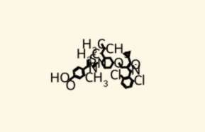 Cc1cc(C(=O)O)ccc1-c1csc(N2CC[C@H](OCc3c(-c4c(Cl)cccc4Cl)noc3C3CC3)CC2[C@H](C)C(C)C)n1